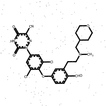 CN(CCc1cc(Oc2c(Cl)cc(-n3nc(C#N)c(=O)[nH]c3=O)cc2Cl)ccc1C=O)CC1CCOCC1